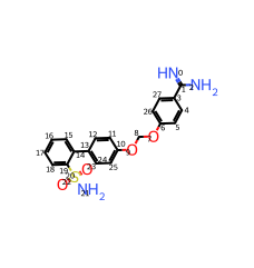 N=C(N)c1ccc(OCOc2ccc(-c3ccccc3S(N)(=O)=O)cc2)cc1